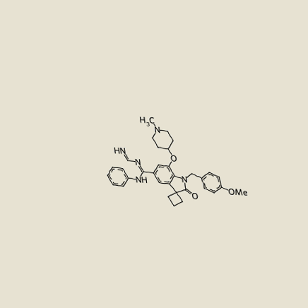 COc1ccc(CN2C(=O)C3(CCC3)c3cc(/C(=N/C=N)Nc4ccccc4)cc(OC4CCN(C)CC4)c32)cc1